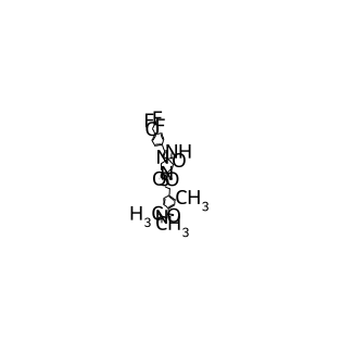 Cc1cc(C(=O)N(C)C)ccc1CCS(=O)(=O)N1CCC2(CC1)N=C(c1ccc(OC(F)(F)F)cc1)NC2=O